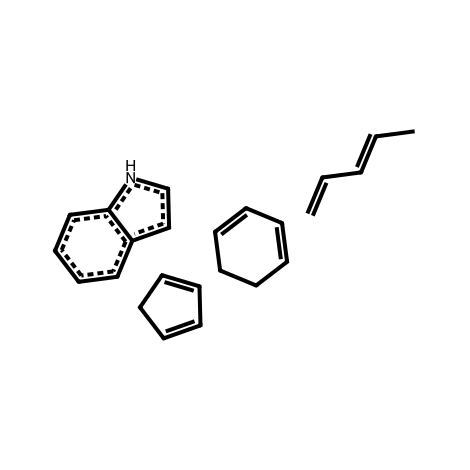 C1=CCC=C1.C1=CCCC=C1.C=CC=CC.c1ccc2[nH]ccc2c1